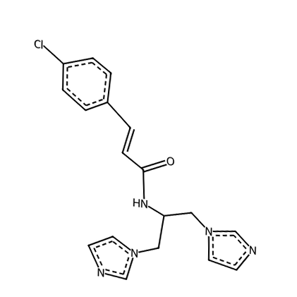 O=C(C=Cc1ccc(Cl)cc1)NC(Cn1ccnc1)Cn1ccnc1